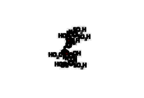 O=C(O)c1cc(Cc2ccc(/N=N\c3cc(/N=N\c4ccc(S(=O)(=O)O)cc4S(=O)(=O)O)c(O)cc3O)c(C(=O)O)c2)ccc1/N=N\c1cc(/N=N\c2ccc(SOOO)cc2S(=O)(=O)O)c(O)cc1O